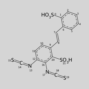 O=S(=O)(O)c1ccccc1C=Cc1ccc(N=C=S)c(N=C=S)c1S(=O)(=O)O